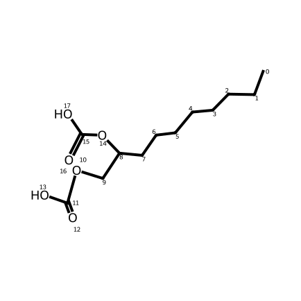 CCCCCCCCC(COC(=O)O)OC(=O)O